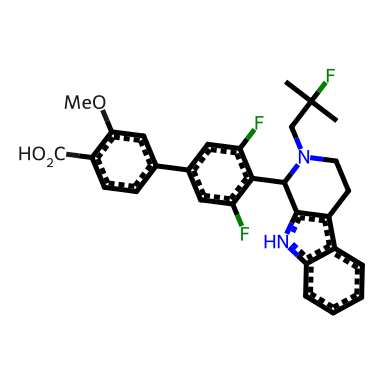 COc1cc(-c2cc(F)c(C3c4[nH]c5ccccc5c4CCN3CC(C)(C)F)c(F)c2)ccc1C(=O)O